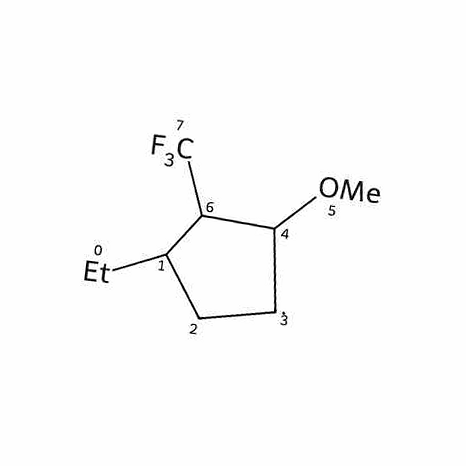 [CH2]CC1C[CH]C(OC)C1C(F)(F)F